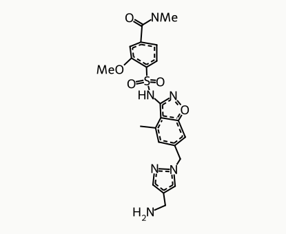 CNC(=O)c1ccc(S(=O)(=O)Nc2noc3cc(Cn4cc(CN)cn4)cc(C)c23)c(OC)c1